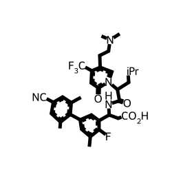 Cc1cc(-c2c(C)cc(C#N)cc2C)cc(C(CC(=O)O)NC(=O)C(CC(C)C)n2cc(CCN(C)C)c(C(F)(F)F)cc2=O)c1F